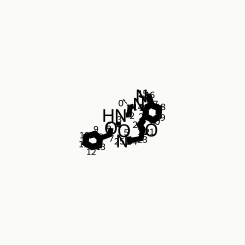 C[C@@H](CNC(=O)OCc1ccccc1)n1ncc2ccc3oc(CC#N)cc3c21